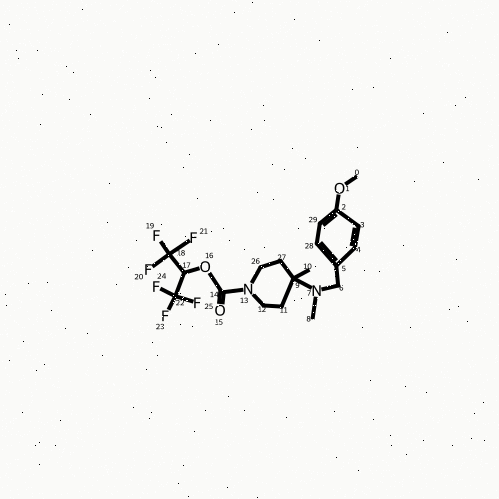 COc1ccc(CN(C)C2(C)CCN(C(=O)OC(C(F)(F)F)C(F)(F)F)CC2)cc1